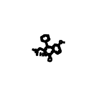 COc1ccc2c(=O)[nH]c(CN(C)C)c(-c3ccccc3)c2c1